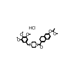 COc1cc(CN2CCN(C(=O)C3=Cc4ccc(OC(C)OC)cc4CC3)CC2)cc(OC)c1OC.Cl